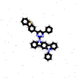 c1ccc(-c2cc(-c3ccc4c(c3)sc3ccccc34)nc(-n3c4ccccc4c4cc5c(cc43)c3ccccc3n5-c3ccccc3)n2)cc1